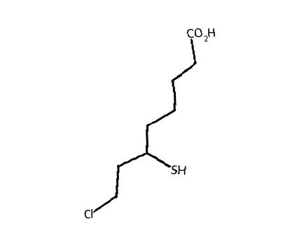 O=C(O)CCCCC(S)CCCl